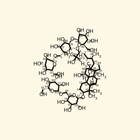 C[C@H](CC[C@@H](O[C@@H]1O[C@H](CO[C@@H]2O[C@H](CO)[C@@H](O)[C@H](O)[C@H]2O)[C@@H](O)[C@H](O)[C@H]1O[C@@H]1O[C@H](CO)[C@@H](O)[C@H](O)[C@H]1O)C(C)(C)O)[C@@H]1CC[C@@]2(C)[C@@H]3CC=C4[C@@H](CC[C@H](O[C@@H]5O[C@H](CO[C@@H]6O[C@H](CO)[C@@H](O)[C@H](O)[C@H]6O)[C@@H](O)[C@H](O)[C@H]5O)C4(C)C)[C@]3(C)[C@@H](O)C[C@]12C